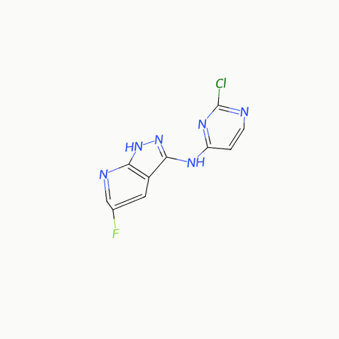 Fc1cnc2[nH]nc(Nc3ccnc(Cl)n3)c2c1